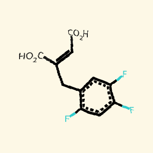 O=C(O)C=C(Cc1cc(F)c(F)cc1F)C(=O)O